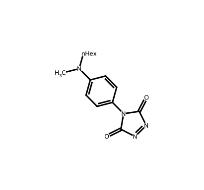 CCCCCCN(C)c1ccc(N2C(=O)N=NC2=O)cc1